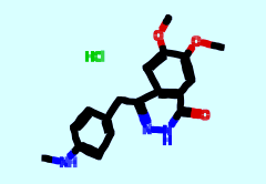 CNc1ccc(Cc2n[nH]c(=O)c3cc(OC)c(OC)cc23)cc1.Cl